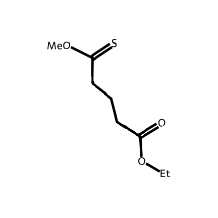 CCOC(=O)CCCC(=S)OC